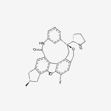 C[C@H]1Cc2cc3c(c(F)c2C1)-c1c(Cl)c(F)cc2c1C[C@]([C@@H]1CCCN1)(O2)c1cccc(c1)NC3=O